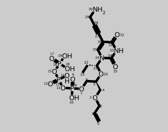 C=CCOC[C@@H](COP(=O)(O)OP(=O)(O)OP(=O)(O)O)O[C@H](CC)n1cc(C#CCN)c(=O)[nH]c1=O